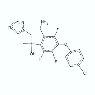 CC(O)(Cn1cncn1)c1c(F)c(F)c(Oc2ccc(Cl)cc2)c(F)c1CN